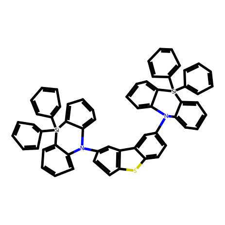 c1ccc([Si]2(c3ccccc3)c3ccccc3N(c3ccc4sc5ccc(N6c7ccccc7[Si](c7ccccc7)(c7ccccc7)c7ccccc76)cc5c4c3)c3ccccc32)cc1